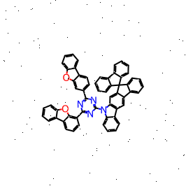 c1ccc2c(c1)-c1ccccc1C21c2ccccc2-c2cc3c4ccccc4n(-c4nc(-c5ccc6c(c5)oc5ccccc56)nc(-c5cccc6c5oc5ccccc56)n4)c3cc21